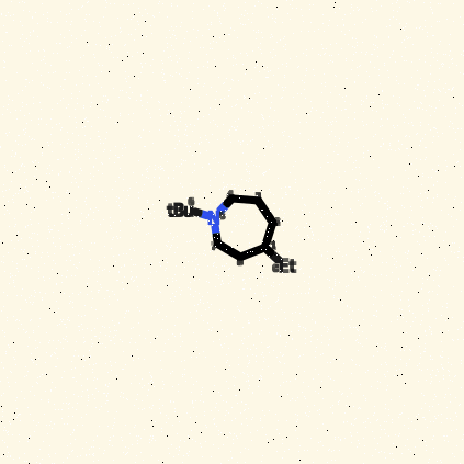 CCC1CCCN(C(C)(C)C)CC1